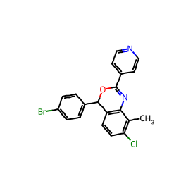 Cc1c(Cl)ccc2c1N=C(c1ccncc1)OC2c1ccc(Br)cc1